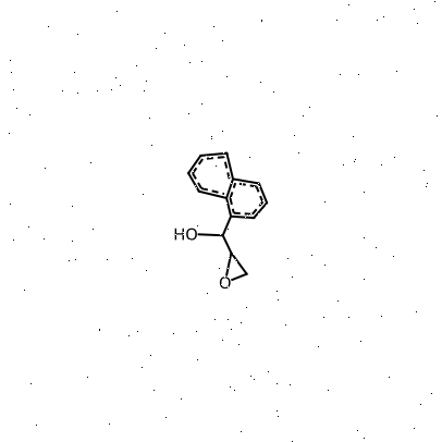 OC(c1cccc2ccccc12)C1CO1